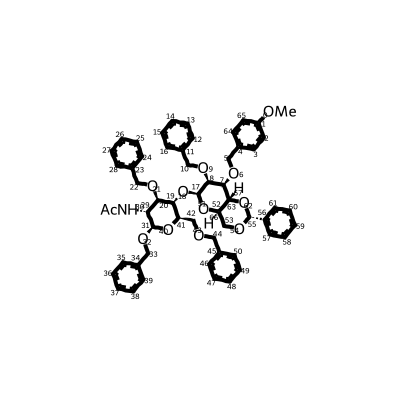 COc1ccc(CO[C@@H]2[C@H](OCc3ccccc3)[C@H](O[C@H]3[C@H](OCc4ccccc4)[C@@H](NC(C)=O)[C@H](OCc4ccccc4)O[C@@H]3COCc3ccccc3)O[C@@H]3CO[C@@H](c4ccccc4)O[C@@H]23)cc1